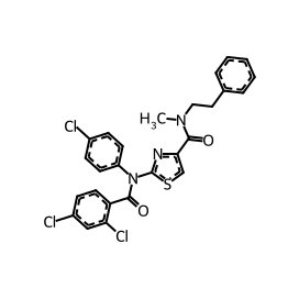 CN(CCc1ccccc1)C(=O)c1csc(N(C(=O)c2ccc(Cl)cc2Cl)c2ccc(Cl)cc2)n1